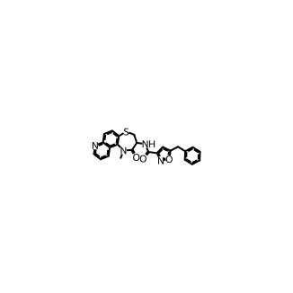 CN1C(=O)C(NC(=O)c2cc(Cc3ccccc3)on2)CSc2ccc3ncccc3c21